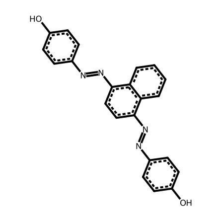 Oc1ccc(/N=N/c2ccc(/N=N/c3ccc(O)cc3)c3ccccc23)cc1